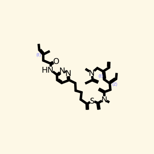 C=C/C(=C\C(=C/C)CC(=C)N(C)C(=C)SC(=C)CCCCc1ccc(NC(=O)C/C(C)=C/C)nn1)CN(C)C(=C)C